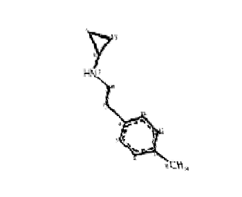 Cc1ccc(CCNC2CC2)cc1